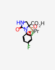 CC(C)S(=O)(=O)C1(C(=O)O)CNC(=O)N1c1ccc(F)cc1F